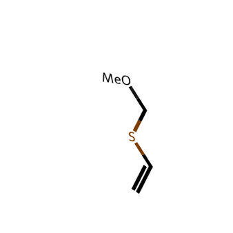 C=CSCOC